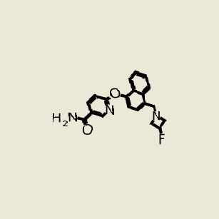 NC(=O)c1ccc(Oc2ccc(CN3CC(F)C3)c3ccccc23)nc1